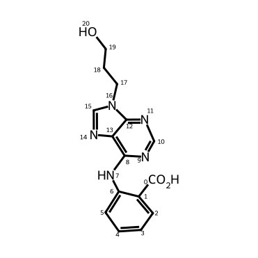 O=C(O)c1ccccc1Nc1ncnc2c1ncn2CCCO